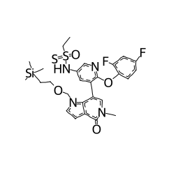 CCS(=O)(=S)Nc1cnc(Oc2ccc(F)cc2F)c(-c2cn(C)c(=O)c3ccn(COCC[Si](C)(C)C)c23)c1